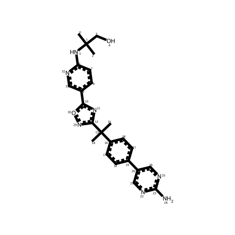 CC(C)(CO)Nc1ccc(-c2nc(C(C)(C)c3ccc(-c4cnc(N)nc4)cc3)no2)cn1